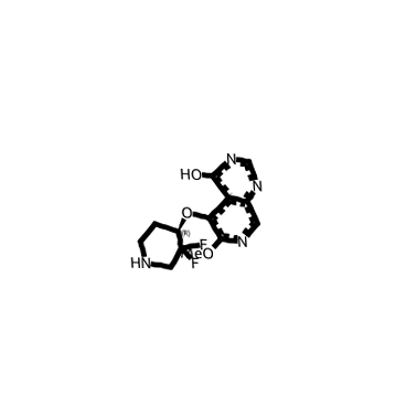 COc1ncc2ncnc(O)c2c1O[C@@H]1CCNCC1(F)F